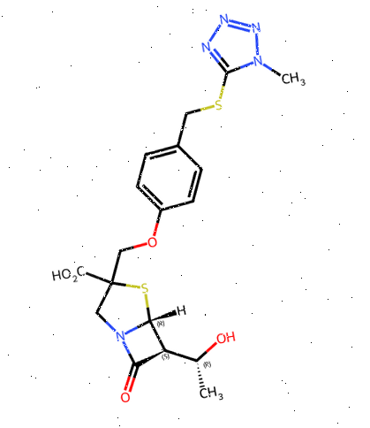 C[C@@H](O)[C@H]1C(=O)N2CC(COc3ccc(CSc4nnnn4C)cc3)(C(=O)O)S[C@H]12